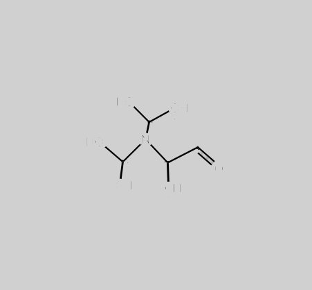 CC(O)N(C(C)O)C(C)[C]=O